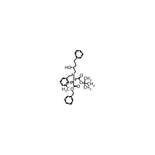 Cc1cccc(CN(C[C@@H](O)CCc2ccccc2)N(NC(=O)OCc2ccccc2)C(=O)OC(C)(C)C)c1